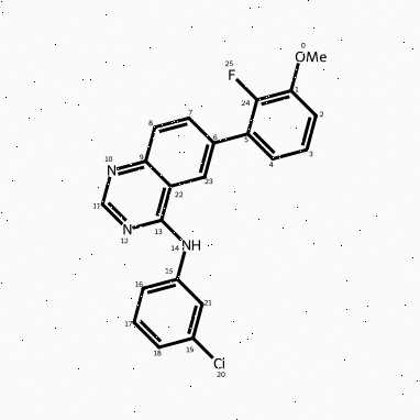 COc1cccc(-c2ccc3ncnc(Nc4cccc(Cl)c4)c3c2)c1F